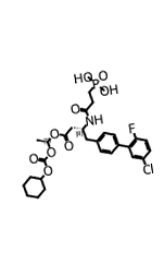 C[C@@H](OC(=O)C[C@@H](Cc1ccc(-c2cc(Cl)ccc2F)cc1)NC(=O)CCP(=O)(O)O)OC(=O)OC1CCCCC1